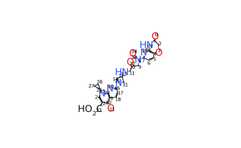 O=C1COc2ccc(N3CC(CNC4CN(c5ccc6c(=O)c(C(=O)O)cn(C7CC7)c6n5)C4)OC3=O)nc2N1